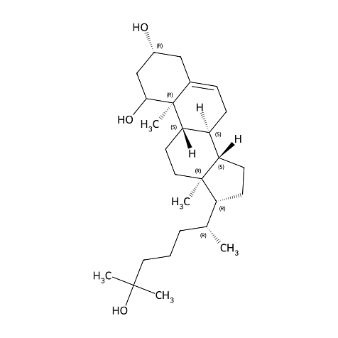 C[C@H](CCCC(C)(C)O)[C@H]1CC[C@H]2[C@@H]3CC=C4C[C@@H](O)CC(O)[C@]4(C)[C@H]3CC[C@]12C